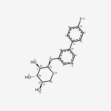 O[C@@H]1[C@@H](O)[C@@H](Oc2cncc(-c3ccc(F)cc3)c2)SC[C@H]1O